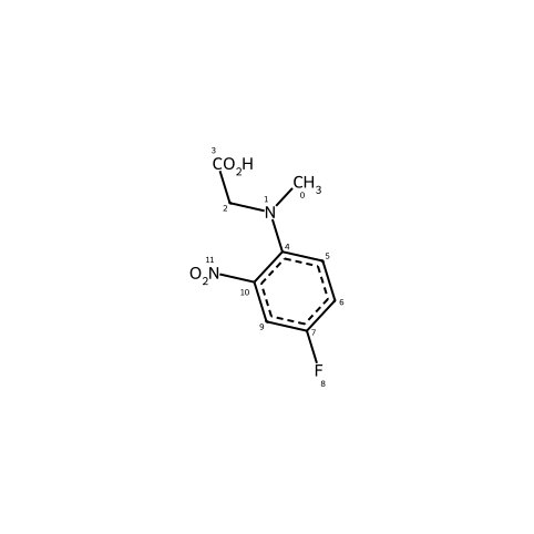 CN(CC(=O)O)c1ccc(F)cc1[N+](=O)[O-]